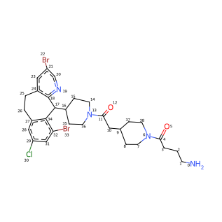 NCCCC(=O)N1CCC(CC(=O)N2CCC(C3c4ncc(Br)cc4CCc4cc(Cl)cc(Br)c43)CC2)CC1